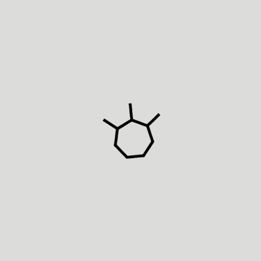 CC1CCCCC(C)C1C